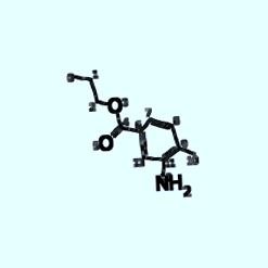 CCCOC(=O)c1ccc(C)c(N)c1